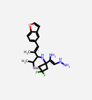 CNC(C)C(NC1(/C(N)=C/NN)CC(F)(F)C1)/C(C)=C/c1ccc2occc2c1